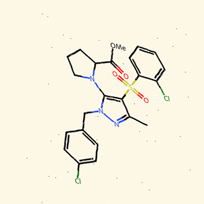 COC(=O)C1CCCN1c1c(S(=O)(=O)c2ccccc2Cl)c(C)nn1Cc1ccc(Cl)cc1